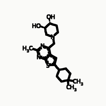 Cc1nc(CN2CC[C@@H](O)[C@H](O)C2)c2cc(C3CCC(C)(C)CC3)sc2n1